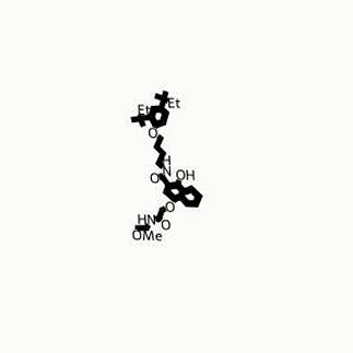 CCC(C)(C)c1ccc(OCCCCNC(=O)c2cc(OCC(=O)NCCOC)c3ccccc3c2O)c(C(C)(C)CC)c1